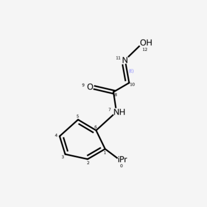 CC(C)c1ccccc1NC(=O)/C=N/O